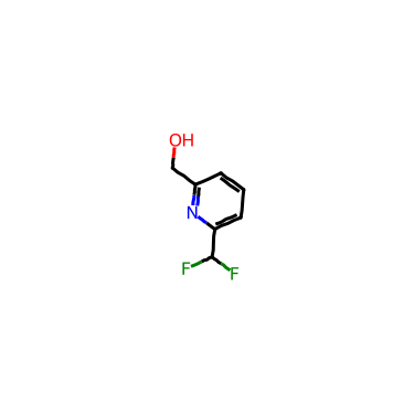 OCc1cccc(C(F)F)n1